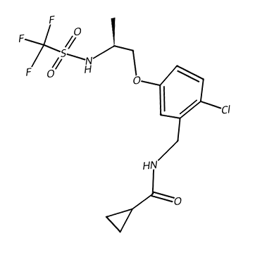 C[C@@H](COc1ccc(Cl)c(CNC(=O)C2CC2)c1)NS(=O)(=O)C(F)(F)F